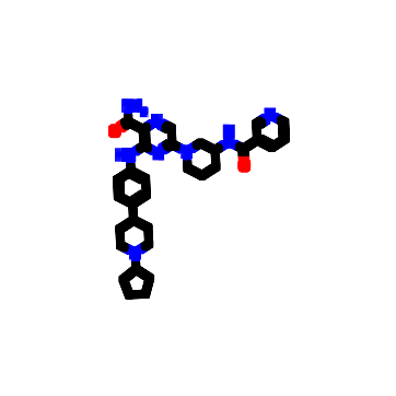 NC(=O)c1ncc(N2CCCC(NC(=O)c3cccnc3)C2)nc1Nc1ccc(C2CCN(C3CCCC3)CC2)cc1